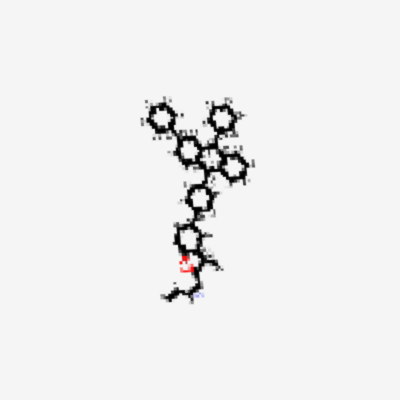 C=C/C=C\c1oc2ccc(-c3ccc(-c4c5ccccc5c(-c5ccccc5)c5cc(-c6ccccc6)ccc45)cc3)cc2c1C